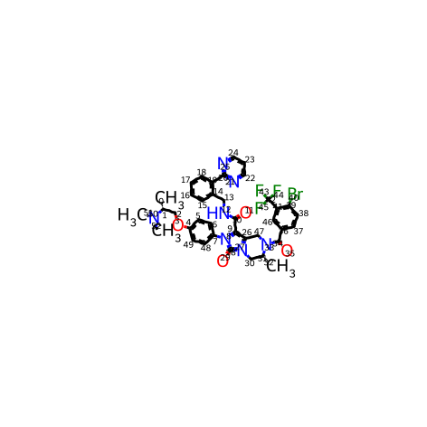 C[C@H](COc1ccc(-n2c(C(=O)NCc3ccccc3-c3ncccn3)c3n(c2=O)C[C@@H](C)N(C(=O)c2ccc(Br)c(C(F)(F)F)c2)C3)cc1)N(C)C